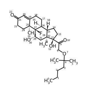 CCCCC(C)(C)OCC(=O)[C@@]1(O)CC[C@H]2[C@@H]3CCC4=CC(=O)CC[C@]4(C)[C@@]3(F)[C@@H](O)C[C@@]21C